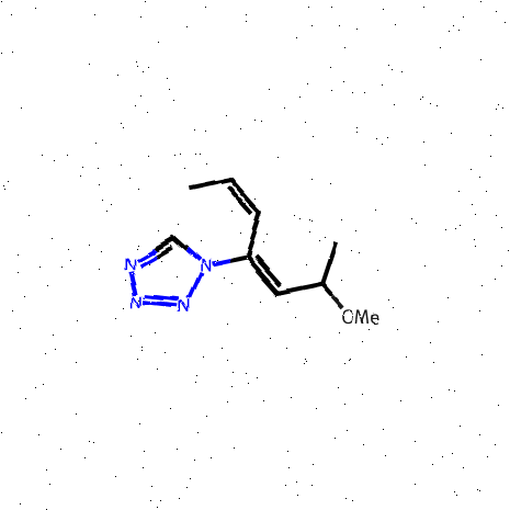 C/C=C\C(=C/C(C)OC)n1cnnn1